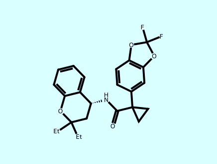 CCC1(CC)C[C@@H](NC(=O)C2(c3ccc4c(c3)OC(F)(F)O4)CC2)c2ccccc2O1